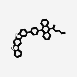 C=CCCC(=C)c1c2ccccc2c(-c2ccc(-c3ccc4oc5cc6oc7ccccc7c6cc5c4c3)cc2)c2ccccc12